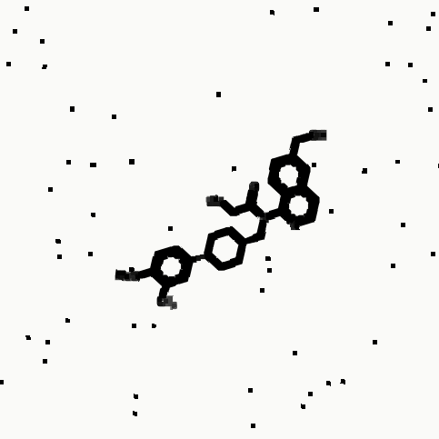 COc1ccc([C@H]2CC[C@H](CN(C(=O)CC(C)(C)C)c3nccc4cc(CO)ccc34)CC2)cc1C